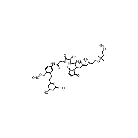 CC(C)C(NC(=O)C(C/C(N)=C/N(N)CCOC(C)(C)CCOC(C)(C)C)N1C(=O)C=CC1=O)C(=O)NCC(=O)Nc1ccc(COC=O)c(CCC2CC(O)CC(C(=O)O)O2)c1